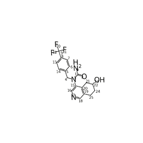 NC(=O)N(Cc1ccc(C(F)(F)F)cc1)c1cncc2c1CC(O)CC2